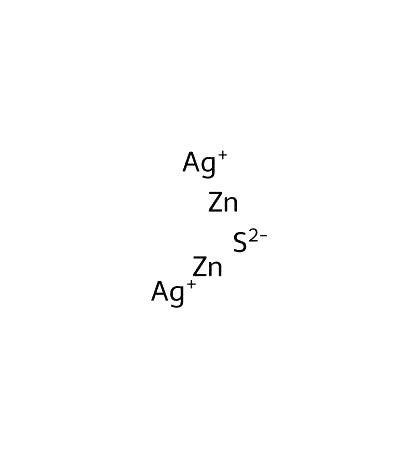 [Ag+].[Ag+].[S-2].[Zn].[Zn]